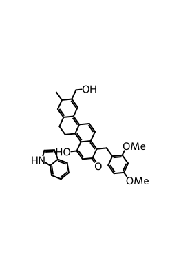 COc1ccc(CC2=c3ccc4c(c3C(O)=CC2=O)CCC2=CC(C)C(CO)=CC=42)c(OC)c1.c1ccc2[nH]ccc2c1